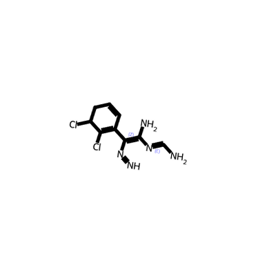 N=N/C(C1=C(Cl)C(Cl)CC=C1)=C(N)\N=C\N